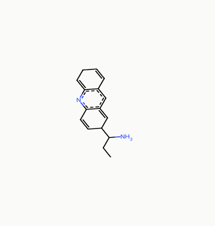 CCC(N)C1C=Cc2nc3c(cc2=C1)C=CCC=3